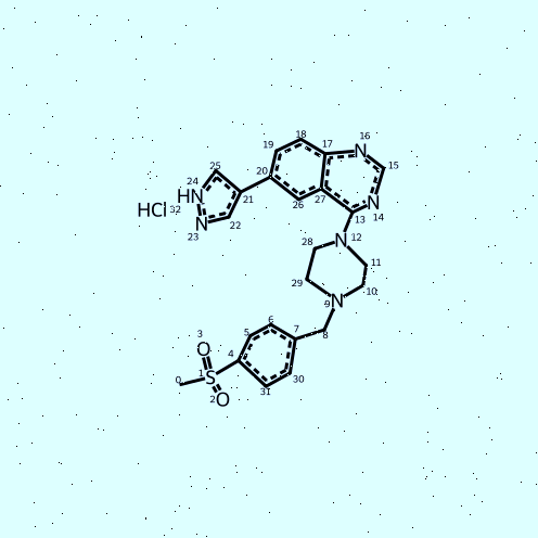 CS(=O)(=O)c1ccc(CN2CCN(c3ncnc4ccc(-c5cn[nH]c5)cc34)CC2)cc1.Cl